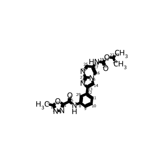 Cc1nnc(C(=O)Nc2cccc(-c3cn4cc(NC(=O)OC(C)C)cnc4n3)c2)o1